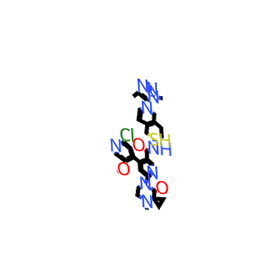 COc1cnc(Cl)cc1-c1cc(N2CCN(C)C3(CC3)C2=O)ncc1C(=O)N[SH]1CCC2=C(C=CN(c3c(C)nnn3C)C2)C1